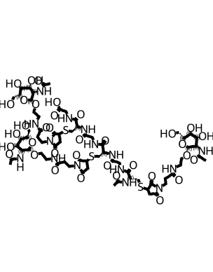 CC(=O)N[C@H]1[C@H](OCCNC(=O)CCN2C(=O)CC(SC[C@H](NC(C)=O)C(=O)NCC(=O)N[C@@H](CSC3CC(=O)N(CCC(=O)NCCO[C@@H]4O[C@H](CO)[C@@H](O)[C@H](O)[C@H]4NC(C)=O)C3=O)C(=O)NCC(=O)N[C@@H](CSC3CC(=O)N(CCC(=O)NCCO[C@@H]4O[C@H](CO)[C@@H](O)[C@H](O)[C@H]4NC(C)=O)C3=O)C(=O)NCC(=O)O)C2=O)O[C@H](CO)[C@@H](O)[C@@H]1O